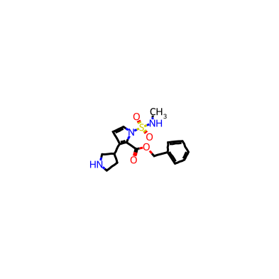 CNS(=O)(=O)n1ccc(C2CCNC2)c1C(=O)OCc1ccccc1